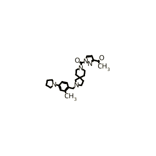 CC(=O)c1ccn(C(=O)N2CCC3(CCN(Cc4ccc(N5CCCC5)cc4C)C3)CC2)n1